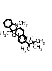 C=C(c1ccc2c(c1)C=CC1(C2)N(C)c2ccccc2C1(C)C)C(C)(C)C